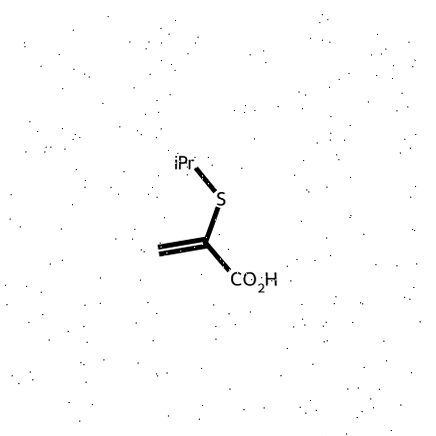 C=C(SC(C)C)C(=O)O